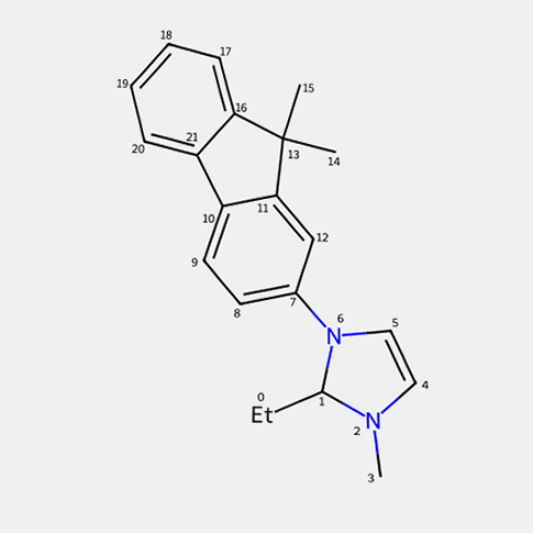 CCC1N(C)C=CN1c1ccc2c(c1)C(C)(C)c1ccccc1-2